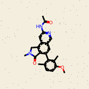 COc1ccc(C)c(-c2cc3cnc(NC(C)=O)cc3c3c2C(=O)N(C)C3)c1C